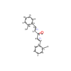 Cc1ccccc1/C=C/C(=O)/C=C/c1ccccc1C